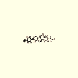 CCCc1ccc2c(F)c(-c3ccc(-c4ccc(F)c(F)c4)cc3)ccc2c1